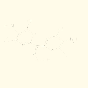 Nc1c(Cl)cc(C(=CC(=O)O)c2cc(Cl)c(N)c(Cl)c2)cc1Cl